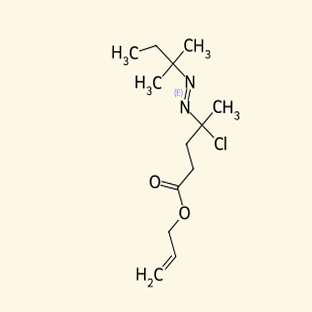 C=CCOC(=O)CCC(C)(Cl)/N=N/C(C)(C)CC